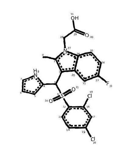 Cc1c(C(c2ccc[nH]2)S(=O)(=O)c2ccc(Cl)cc2Cl)c2cc(F)ccc2n1CC(=O)O